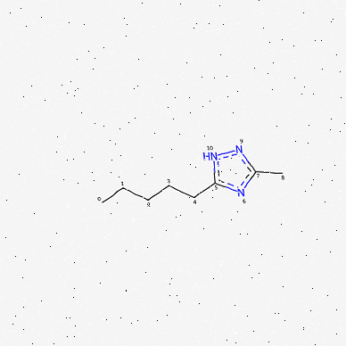 CCCCCc1nc(C)n[nH]1